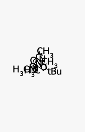 Cc1cnc2c(c1)Oc1cc(C)nnc1N2c1c(C)cc(C(C)(C)C)cc1C